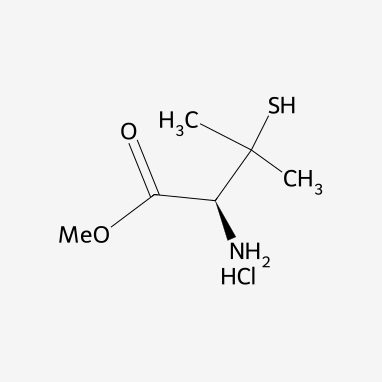 COC(=O)[C@H](N)C(C)(C)S.Cl